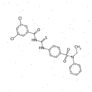 CCN(c1ccccc1)S(=O)(=O)c1ccc(NC(=S)NC(=O)c2cc(Cl)cc(Cl)c2)cc1